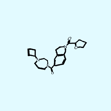 O=C(c1ccc2c(c1)CCN(C(=O)C1CCCO1)C2)N1CCCN(C2CCC2)CC1